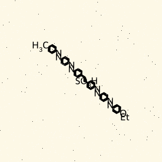 CCOc1ccc(N=Nc2ccc(N=Nc3ccc(C=Cc4ccc(N=Nc5ccc(N=Nc6ccc(C)cc6)cc5)cc4S(=O)(=O)O)cc3)cc2)cc1